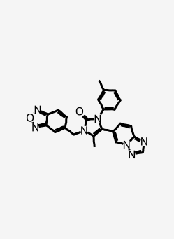 Cc1cccc(-n2c(-c3ccc4ncnn4c3)c(C)n(Cc3ccc4nonc4c3)c2=O)c1